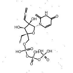 C=C=C[C@@]1(O)[C@H](O)[C@@](CF)(COP(=O)(O)OP(=O)(O)OP(=O)(O)O)O[C@H]1N1C=CC(=O)NC1=C